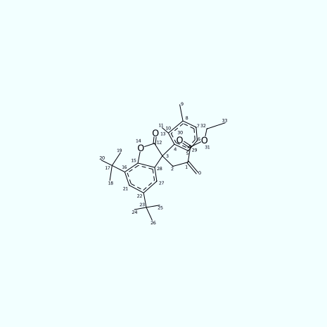 C=C(CC1(c2cccc(C)c2C)C(=O)Oc2c(C(C)(C)C)cc(C(C)(C)C)cc21)C(=O)OCC